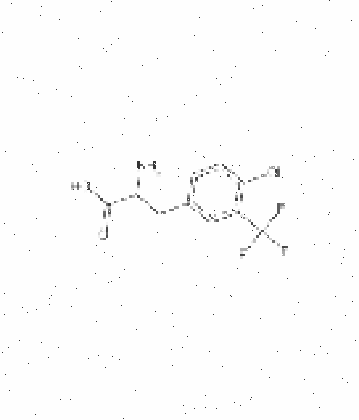 NC(Cc1ccc(O)c(C(F)(F)F)c1)C(=O)O